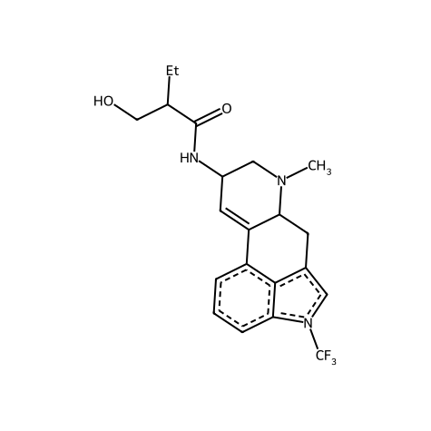 CCC(CO)C(=O)NC1C=C2c3cccc4c3c(cn4C(F)(F)F)CC2N(C)C1